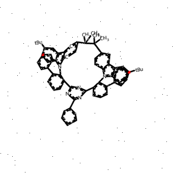 CC(C)(C)c1ccc2c(c1)c1cc3ccc1n2-c1c(-c2ccccc2)cccc1-c1nc(-c2ccccc2)nc(n1)-c1cccc(-c2ccccc2)c1-n1c2ccc(C(C)(C)C)cc2c2cc(ccc21)C(C)(C)C3(C)C